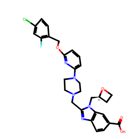 O=C(O)c1ccc2nc(CN3CCN(c4cccc(OCc5ccc(Cl)cc5F)n4)CC3)n(C[C@@H]3CCO3)c2c1